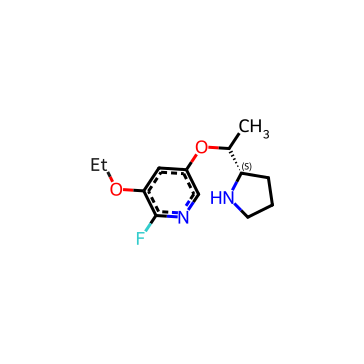 CCOc1cc(OC(C)[C@@H]2CCCN2)cnc1F